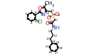 Cc1oc(-c2ccccc2Cl)nc1CS(=O)(=O)CC(=O)NCCCc1ccccc1